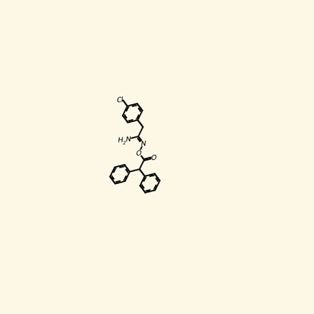 N/C(Cc1ccc(Cl)cc1)=N\OC(=O)C(c1ccccc1)c1ccccc1